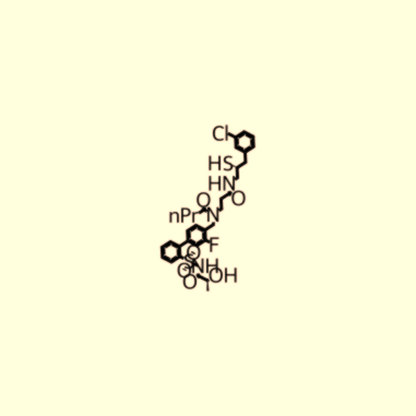 CCCC(=O)N(CCC(=O)NC[C@H](S)Cc1cccc(Cl)c1)Cc1ccc(-c2ccccc2S(=O)(=O)NC(=O)[C@H](C)O)cc1F